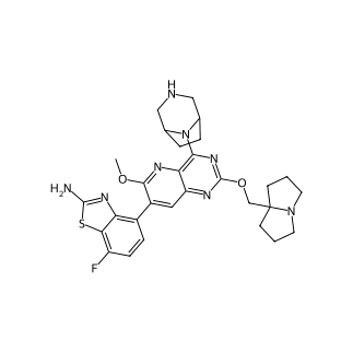 COc1nc2c(N3C4CCC3CNC4)nc(OCC34CCCN3CCC4)nc2cc1-c1ccc(F)c2sc(N)nc12